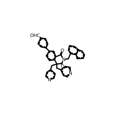 O=Cc1ccc(-c2ccc3c(c2)C(=O)N(Cc2cccc4ccccc24)C(=O)C3(Cc2ccncc2)Cc2ccncc2)cc1